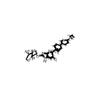 O[C@@H]1CO[C@H]2[C@@H]1OC[C@H]2Oc1nc2nc(-c3ccc(-c4ccc(-n5cccn5)nc4)cc3)c(Cl)cc2[nH]1